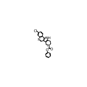 O=C(Oc1ccccc1)N1CCc2[nH]c3c(cnc4cc(Cl)ccc43)c2C1